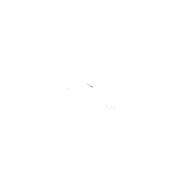 CNCC[C@@H]1CCCN1C